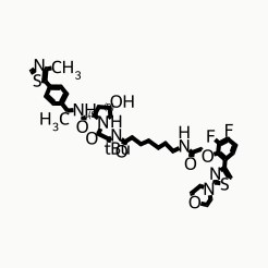 Cc1ncsc1-c1ccc(C(C)NC(=O)[C@@H]2C[C@@H](O)CN2C(=O)C(NC(=O)CCCCCCNC(=O)COc2c(-c3csc(N4CCOCC4)n3)ccc(F)c2F)C(C)(C)C)cc1